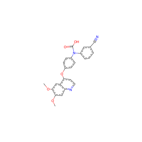 COc1cc2nccc(Oc3ccc(N(C(=O)O)c4cccc(C#N)c4)cc3)c2cc1OC